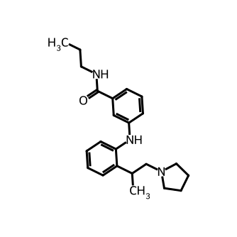 CCCNC(=O)c1cccc(Nc2ccccc2C(C)CN2CCCC2)c1